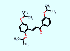 CC(C)Oc1cccc(C(=O)/C=C/c2cc(OC(C)C)ccc2OC(C)C)c1